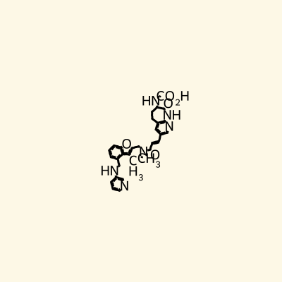 Cc1c(CN(C)C(=O)C=Cc2cnc3c(c2)CCC(NC(=O)O)C(=O)N3)oc2cccc(CNc3cccnc3)c12